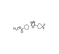 COC(=O)[C@H]1CC[C@H](c2nnc(C3CCC(F)(F)CC3)o2)CC1